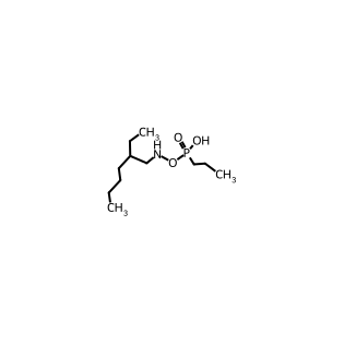 CCCCC(CC)CNOP(=O)(O)CCC